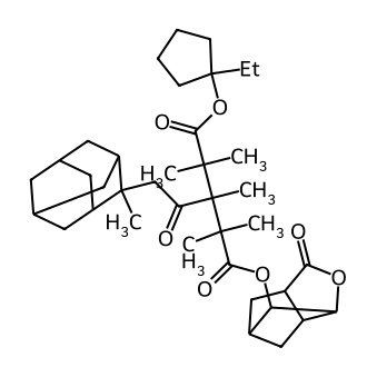 CCC1(OC(=O)C(C)(C)C(C)(C(=O)CC2(C)C3CC4CC(C3)CC2C4)C(C)(C)C(=O)OC2C3CC4C(=O)OC2C4C3)CCCC1